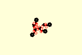 CC(C)(COCC(C)(COCC(C)(COCC(C)(CO)OC(=O)c1ccccc1)OC(=O)c1ccccc1)OC(=O)c1ccccc1)OC(=O)c1ccccc1